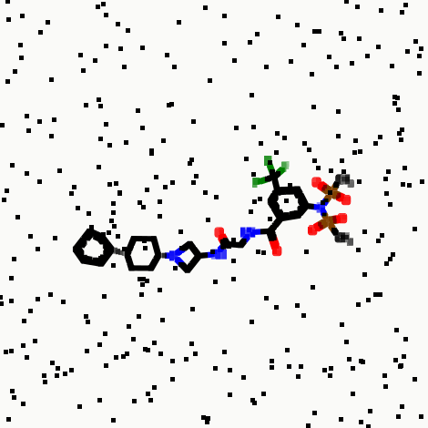 CS(=O)(=O)N(c1cc(C(=O)NCC(=O)NC2CN([C@H]3CC[C@@H](c4ccccc4)CC3)C2)cc(C(F)(F)F)c1)S(C)(=O)=O